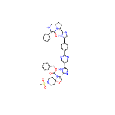 CN(C)[C@@H](C(=O)N1CCC[C@H]1c1ncc(-c2ccc(-c3ncc(-c4cnc([C@@H]5COC6(CCN(S(C)(=O)=O)CC6)N5C(=O)OCc5ccccc5)[nH]4)cn3)cc2)[nH]1)c1ccccc1